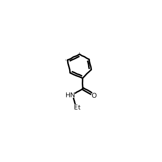 CCNC(=O)c1c[c][c]cc1